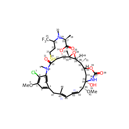 COc1cc2cc(c1Cl)N(C)C(=O)C[C@H](OC(=O)[C@H](C)N(C)C(CCS)C(F)(F)F)[C@]1(C)O[C@H]1[C@H](C)[C@@H]1C[C@@](O)(NC(=O)O1)[C@H](OC)/C=C/C=C(\C)C2